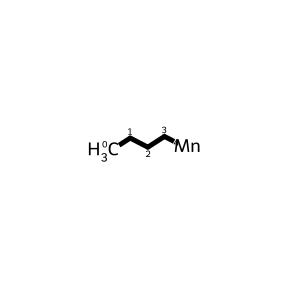 CCC[CH2][Mn]